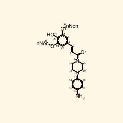 CCCCCCCCCOc1cc(C=CC(=O)N2CCN(c3ccc(N)cc3)CC2)cc(OCCCCCCCCC)c1O